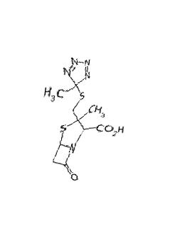 CC1(SCC2(C)SC3CC(=O)N3C2C(=O)O)N=NN=N1